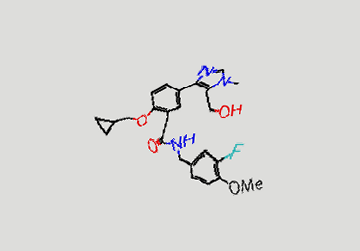 COc1ccc(CNC(=O)c2cc(-c3ncn(C)c3CO)ccc2OCC2CC2)cc1F